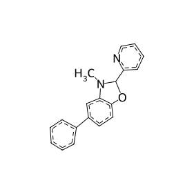 CN1c2cc(-c3ccccc3)ccc2OC1c1ccccn1